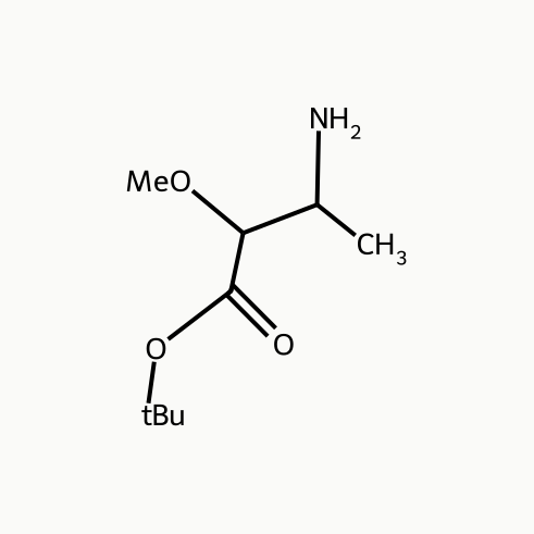 COC(C(=O)OC(C)(C)C)C(C)N